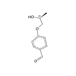 C[C@H](O)COc1ccc(C=O)cc1